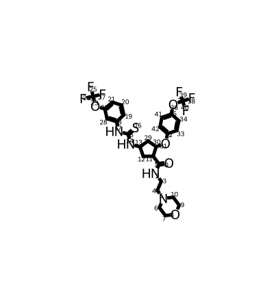 O=C(NCCN1CCOCC1)C1CC(NC(=S)Nc2cccc(OC(F)(F)F)c2)CC1Oc1ccc(OC(F)(F)F)cc1